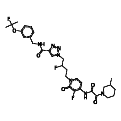 CC1CCCN(C(=O)C(=O)Nc2ccn(CCC(F)Cn3cc(C(=O)NCc4cccc(OC(C)(C)F)c4)nn3)c(=O)c2F)C1